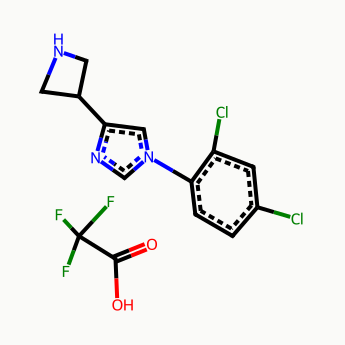 Clc1ccc(-n2cnc(C3CNC3)c2)c(Cl)c1.O=C(O)C(F)(F)F